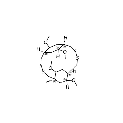 COC1C[C@H]2CSSC[C@@H]3CC(OC)[C@H](CSSC[C@@H]1C[C@@H]2OC)C[C@@H]3OC